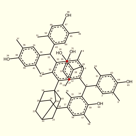 Cc1cc(C(c2cc(C)c(O)cc2C)c2c(C)c(C34CC5CC(C3)CC(c3cc(C)c(O)c(C(c6cc(C)c(O)cc6C)c6cc(C)c(O)cc6C)c3C)(C5)C4)cc(C)c2O)c(C)cc1O